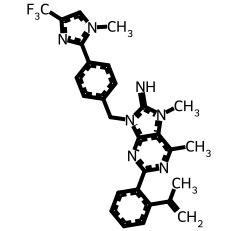 C=C(C)c1ccccc1-c1nc(C)c2c(n1)n(Cc1ccc(-c3nc(C(F)(F)F)cn3C)cc1)c(=N)n2C